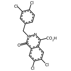 O=C(O)c1nn(Cc2ccc(Cl)c(Cl)c2)c(=O)c2cc(Cl)c(Cl)cc12